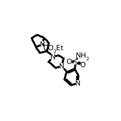 CCOC(=O)N1C2CCC1CC(N1CCN(c3ccncc3S(N)(=O)=O)CC1)C2